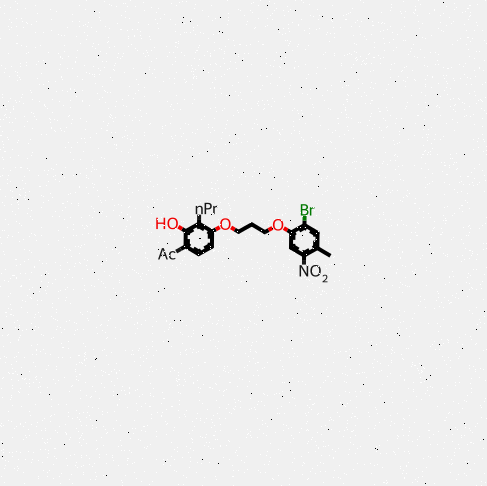 CCCc1c(OCCCOc2cc([N+](=O)[O-])c(C)cc2Br)ccc(C(C)=O)c1O